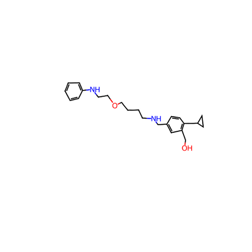 OCc1cc(CNCCCCOCCNc2ccccc2)ccc1C1CC1